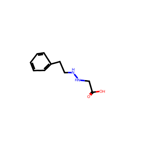 O=C(O)CNNCCc1ccccc1